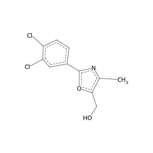 Cc1nc(-c2ccc(Cl)c(Cl)c2)oc1CO